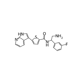 NCC(NC(=O)c1ccc(-c2c[nH]c3ncccc23)s1)c1cccc(F)c1